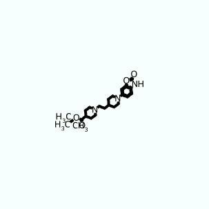 CC(C)(C)OC(=O)C1CCN(CCC2CCN(c3ccc4[nH]c(=O)oc4c3)CC2)CC1